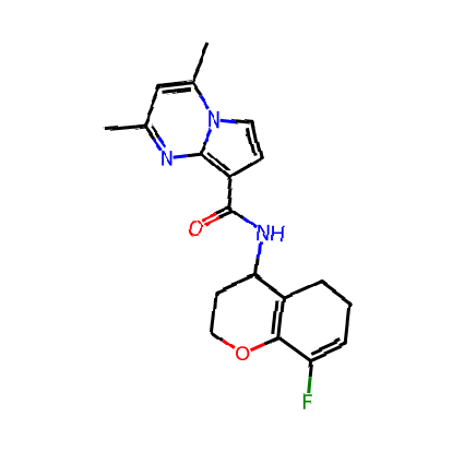 Cc1cc(C)n2ccc(C(=O)NC3CCOC4=C3CCC=C4F)c2n1